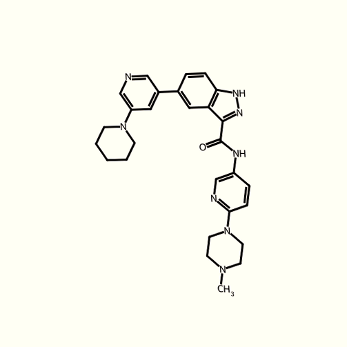 CN1CCN(c2ccc(NC(=O)c3n[nH]c4ccc(-c5cncc(N6CCCCC6)c5)cc34)cn2)CC1